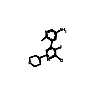 Cc1ncc(N)cc1-c1cc(N2CCOCC2)nc(Cl)c1F